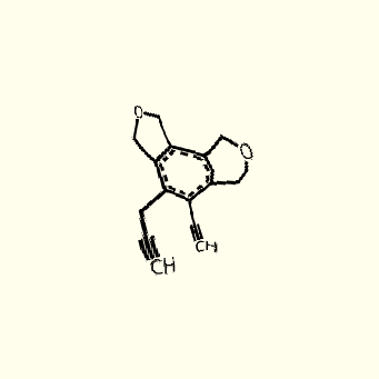 C#CCc1c(C#C)c2c(c3c1COC3)COC2